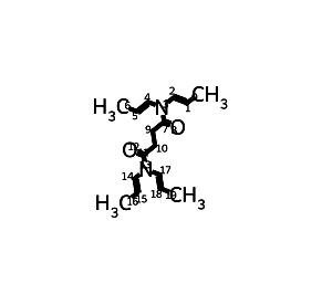 CC=CN(C=CC)C(=O)CCC(=O)N(C=CC)C=CC